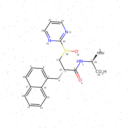 CCCC[C@H](NC(=O)[C@H](Cc1cccc2ccccc12)C[S+]([O-])c1ncccn1)C(=O)O